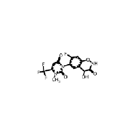 Cn1c(C(F)(F)F)cc(=O)n(-c2cc3c(cc2F)ONC(=O)C3O)c1=O